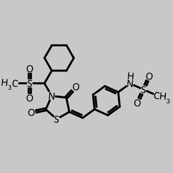 CS(=O)(=O)Nc1ccc(C=C2SC(=O)N(C(C3CCCCC3)S(C)(=O)=O)C2=O)cc1